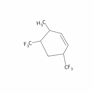 CC1C=CC(C(F)(F)F)CC1C(F)(F)F